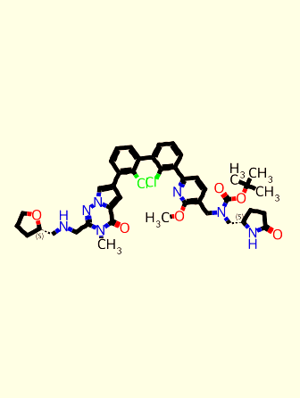 COc1nc(-c2cccc(-c3cccc(-c4cc5c(=O)n(C)c(CNC[C@@H]6CCCO6)nn5c4)c3Cl)c2Cl)ccc1CN(C[C@@H]1CCC(=O)N1)C(=O)OC(C)(C)C